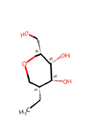 CC[C@@H]1CO[C@H](CO)[C@H](O)[C@@H]1O